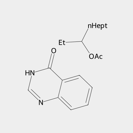 CCCCCCCC(CC)OC(C)=O.O=c1[nH]cnc2ccccc12